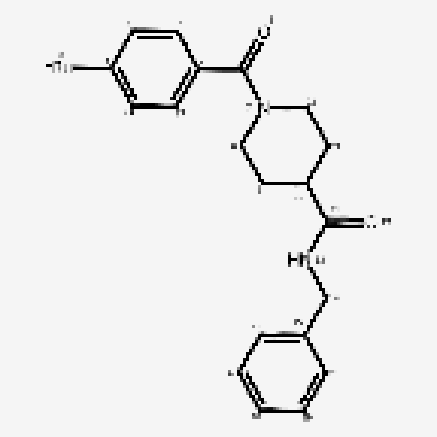 CC(C)(C)c1ccc(C(=O)N2CCC(C(=O)NCc3ccccc3)CC2)cc1